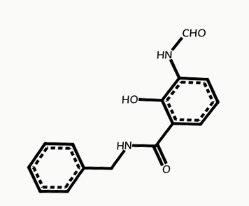 O=CNc1cccc(C(=O)NCc2ccccc2)c1O